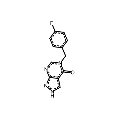 O=c1c2c[nH]nc2ncn1Cc1ccc(F)cc1